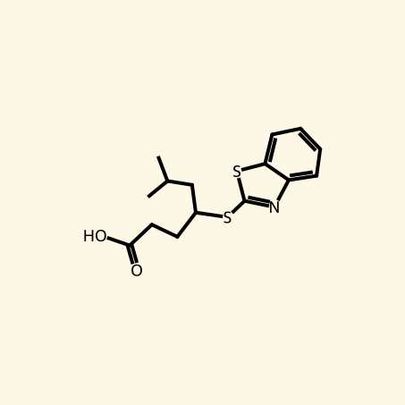 CC(C)CC(CCC(=O)O)Sc1nc2ccccc2s1